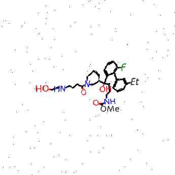 CCc1cccc(-c2c(F)cccc2[C@](O)(CCCNC(=O)OC)[C@@H]2CCCN(C(=O)CCCNCCO)C2)c1